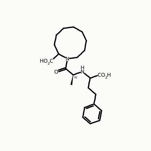 C[C@H](NC(CCc1ccccc1)C(=O)O)C(=O)N1CCCCCCCCC1C(=O)O